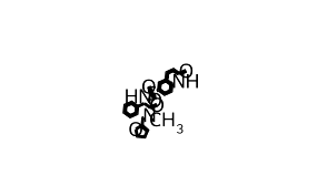 CN(CC1=CCCO1)C(=O)C(NS(=O)(=O)c1ccc2[nH]c(=O)ccc2c1)c1ccccc1